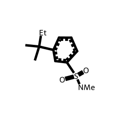 CCC(C)(C)c1cccc(S(=O)(=O)NC)c1